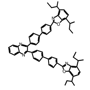 CCC(C)c1ccc(C(C)CC)c2oc(-c3ccc(-c4ccc(-c5nc6ccccc6nc5-c5ccc(-c6ccc(-c7nc8c(C(C)CC)ccc(C(C)CC)c8o7)cc6)cc5)cc4)cc3)nc12